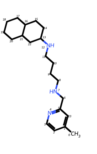 Cc1ccnc(CNCCCCNC2CCC3CCCCC3C2)c1